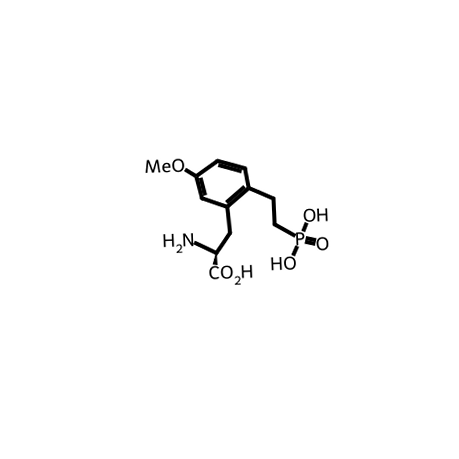 COc1ccc(CCP(=O)(O)O)c(C[C@H](N)C(=O)O)c1